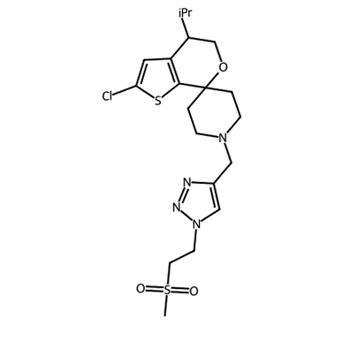 CC(C)C1COC2(CCN(Cc3cn(CCS(C)(=O)=O)nn3)CC2)c2sc(Cl)cc21